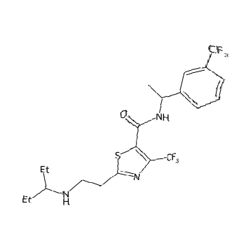 CCC(CC)NCCc1nc(C(F)(F)F)c(C(=O)NC(C)c2cccc(C(F)(F)F)c2)s1